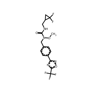 CON(Cc1ccc(-c2noc(C(F)(F)F)n2)cc1)C(=O)NCC1CC1(F)F